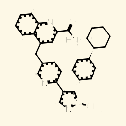 Cn1cc(-c2ccc(Cc3cc(C(=O)N[C@@H]4CCCC[C@H]4c4ccccc4)nc4ccccc34)cn2)cn1